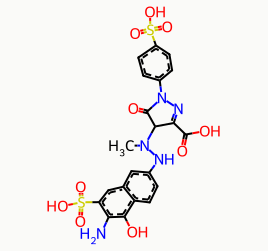 CN(Nc1ccc2c(O)c(N)c(S(=O)(=O)O)cc2c1)C1C(=O)N(c2ccc(S(=O)(=O)O)cc2)N=C1C(=O)O